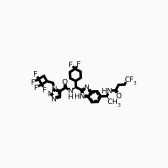 C[C@@H](NC(=O)CCC(F)(F)F)c1ccc2[nH]c([C@@H](NC(=O)c3cnnn3CC3CC(F)(F)C3(F)F)C3CCC(F)(F)CC3)nc2c1